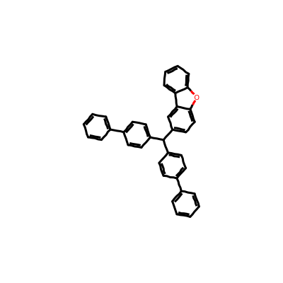 c1ccc(-c2ccc(C(c3ccc(-c4ccccc4)cc3)c3ccc4oc5ccccc5c4c3)cc2)cc1